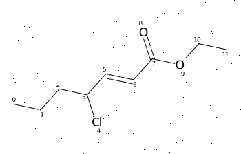 CCCC(Cl)/C=C/C(=O)OCC